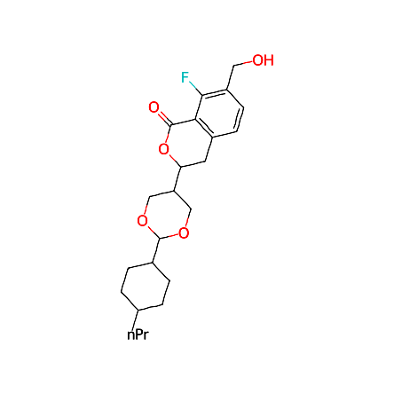 CCCC1CCC(C2OCC(C3Cc4ccc(CO)c(F)c4C(=O)O3)CO2)CC1